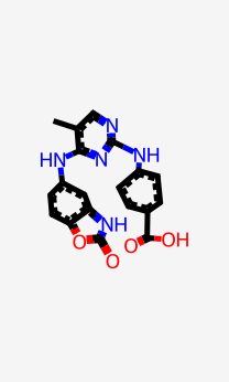 Cc1cnc(Nc2ccc(C(=O)O)cc2)nc1Nc1ccc2oc(=O)[nH]c2c1